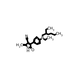 C=C1NC(=O)C(c2ccc(N(CC)CC(CC)CCCC)cc2)=C1C#N